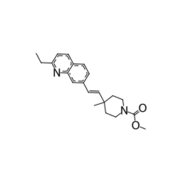 CCc1ccc2ccc(/C=C/C3(C)CCN(C(=O)OC)CC3)cc2n1